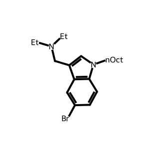 CCCCCCCCn1cc(CN(CC)CC)c2cc(Br)ccc21